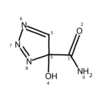 NC(=O)C1(O)C=NN=N1